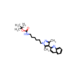 Cc1nn(CCCCCCNC(=O)OC(C)(C)C)c(C)c1-c1ccc2ccccc2n1